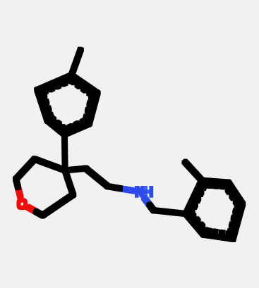 Cc1ccc(C2(CCNCc3ccccc3C)CCOCC2)cc1